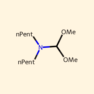 CCCCCN(CCCCC)C(OC)OC